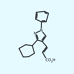 O=C(O)/C=C/c1cn(-c2ccccc2)nc1C1CCCCC1